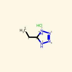 CCC1NN=NN1.Cl